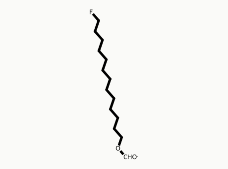 O=[C]OCCCCCCCCCCCCCF